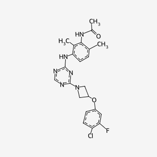 CC(=O)Nc1c(C)ccc(Nc2ncnc(N3CC(Oc4ccc(Cl)c(F)c4)C3)n2)c1C